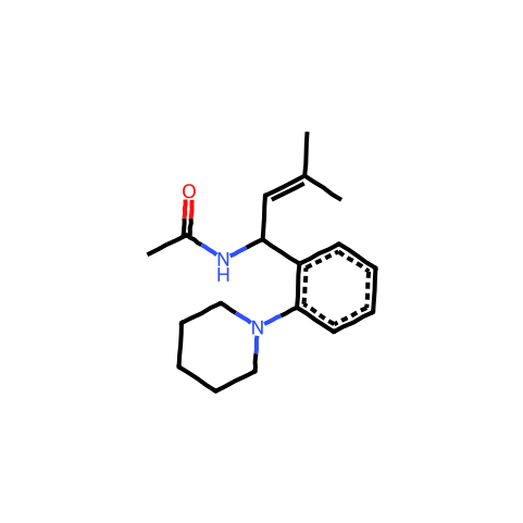 CC(=O)NC(C=C(C)C)c1ccccc1N1CCCCC1